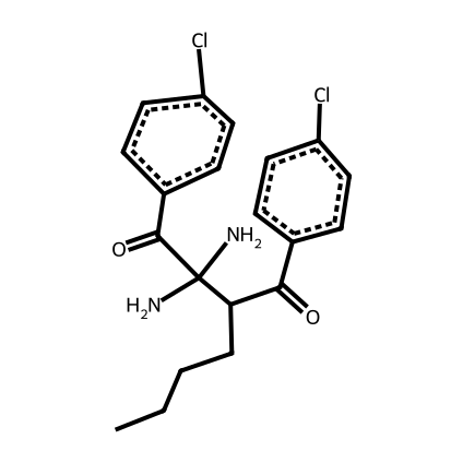 CCCCC(C(=O)c1ccc(Cl)cc1)C(N)(N)C(=O)c1ccc(Cl)cc1